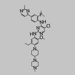 CCc1cc(Nc2ncc(Cl)c(Nc3ccc(-c4ccnc(C)n4)cc3P(C)C)n2)c(OC)cc1N1CCC(N2CCN(C)CC2)CC1